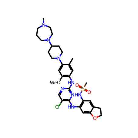 COc1cc(N2CCC(N3CCCN(C)CC3)CC2)c(C)cc1Nc1ncc(Cl)c(Nc2cc3c(cc2NS(C)(=O)=O)CCO3)n1